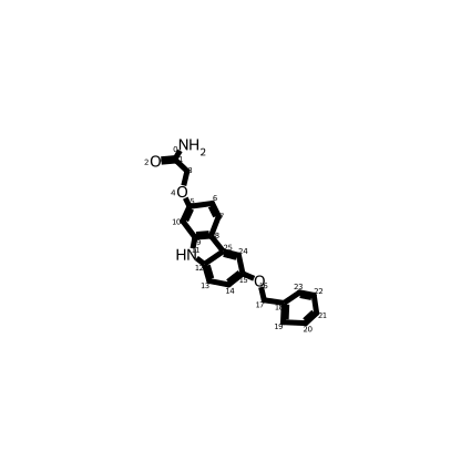 NC(=O)COc1ccc2c(c1)[nH]c1ccc(OCc3ccccc3)cc12